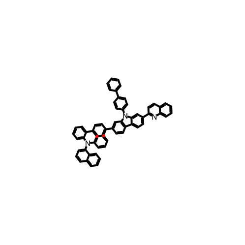 c1ccc(-c2ccc(-n3c4cc(-c5ccc(-c6ccccc6N(c6ccccc6)c6cccc7ccccc67)cc5)ccc4c4ccc(-c5ccc6ccccc6n5)cc43)cc2)cc1